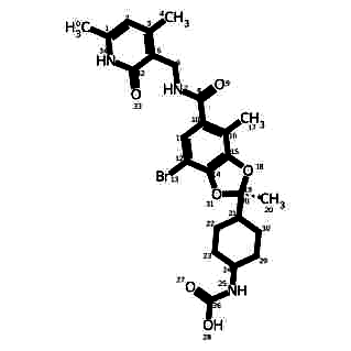 Cc1cc(C)c(CNC(=O)c2cc(Br)c3c(c2C)O[C@@](C)(C2CCC(NC(=O)O)CC2)O3)c(=O)[nH]1